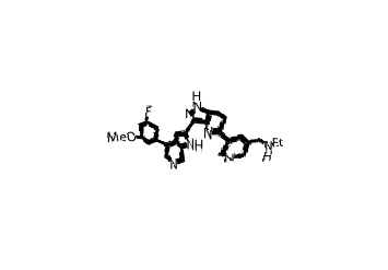 CCNCc1cncc(-c2ccc3[nH]nc(-c4cc5c(-c6cc(F)cc(OC)c6)cncc5[nH]4)c3n2)c1